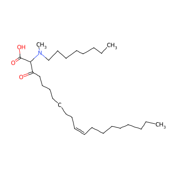 CCCCCCCC/C=C\CCCCCCCC(=O)C(C(=O)O)N(C)CCCCCCCC